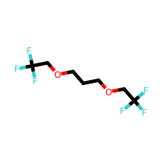 FC(F)(F)COCCCOCC(F)(F)F